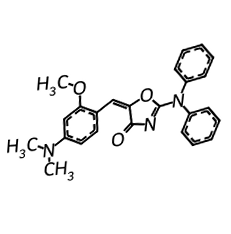 COc1cc(N(C)C)ccc1/C=C1/OC(N(c2ccccc2)c2ccccc2)=NC1=O